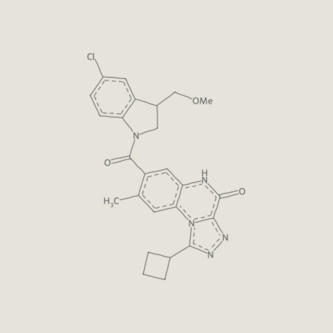 COCC1CN(C(=O)c2cc3[nH]c(=O)c4nnc(C5CCC5)n4c3cc2C)c2ccc(Cl)cc21